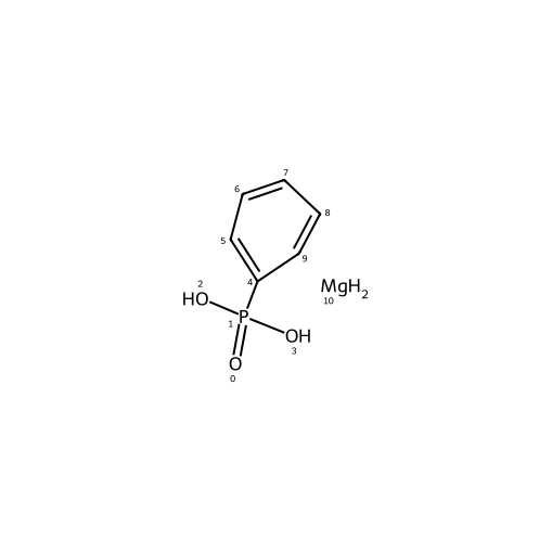 O=P(O)(O)c1ccccc1.[MgH2]